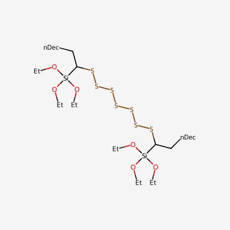 CCCCCCCCCCCC(SSSSSSSC(CCCCCCCCCCC)[Si](OCC)(OCC)OCC)[Si](OCC)(OCC)OCC